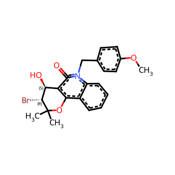 COc1ccc(Cn2c(=O)c3c(c4ccccc42)OC(C)(C)[C@H](Br)[C@H]3O)cc1